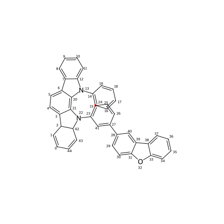 C1=CC2c3ccc4c5ccccc5n(-c5ccccc5)c4c3N(c3cccc(-c4ccc5oc6ccccc6c5c4)c3)C2C=C1